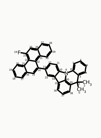 CC1(C)c2ccccc2-n2c3ccc(-c4cc5ccccc5c5c(F)cc6ccccc6c45)cc3c3cccc1c32